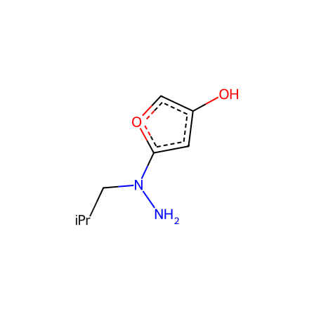 CC(C)CN(N)c1cc(O)co1